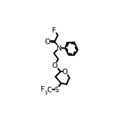 O=C(CF)N(CCOC1CC(SC(F)(F)F)CCO1)c1ccccc1